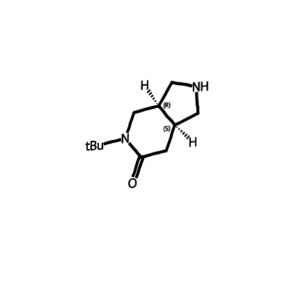 CC(C)(C)N1C[C@H]2CNC[C@H]2CC1=O